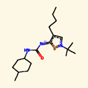 CCCCc1cn(C(C)(C)C)s/c1=N\C(=O)NC1CCC(C)CC1